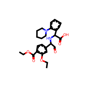 CCOC(=O)c1ccc(C(C=O)NC(C(=O)O)c2ccccc2N2CCCCC2)cc1OCC